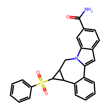 NC(=O)c1ccc2cc3n(c2c1)CC1C(c2ccccc2-3)C1S(=O)(=O)c1ccccc1